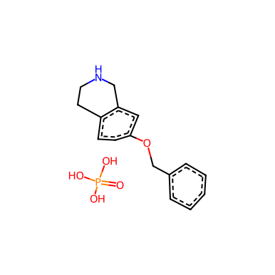 O=P(O)(O)O.c1ccc(COc2ccc3c(c2)CNCC3)cc1